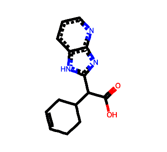 O=C(O)C(c1nc2ncccc2[nH]1)C1CC=CCC1